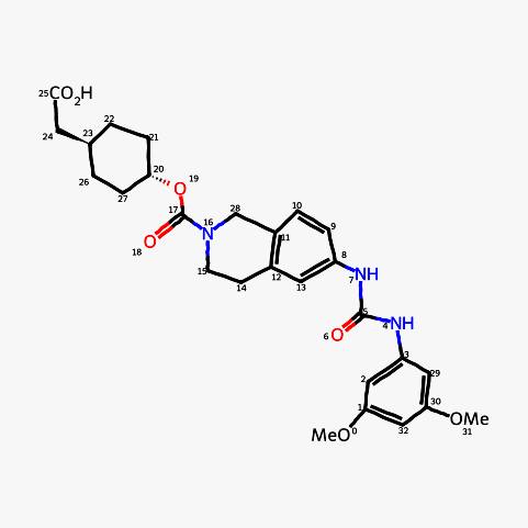 COc1cc(NC(=O)Nc2ccc3c(c2)CCN(C(=O)O[C@H]2CC[C@H](CC(=O)O)CC2)C3)cc(OC)c1